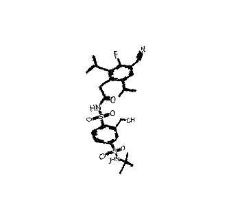 CC(C)c1cc(C#N)c(F)c(C(C)C)c1CC(=O)NS(=O)(=O)c1ccc(S(=O)(=O)NC(C)(C)C)cc1CO